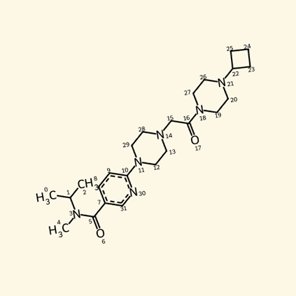 CC(C)N(C)C(=O)c1ccc(N2CCN(CC(=O)N3CCN(C4CCC4)CC3)CC2)nc1